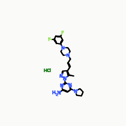 Cc1c(C=CCN2CCN(c3cc(F)cc(F)c3)CC2)cnn1-c1nc(N)cc(N2CCCC2)n1.Cl